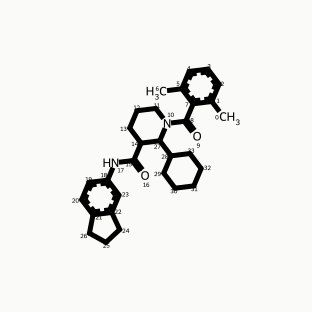 Cc1cccc(C)c1C(=O)N1CCCC(C(=O)Nc2ccc3c(c2)CCC3)C1C1CCCCC1